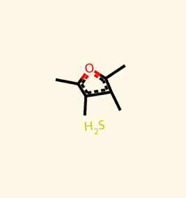 Cc1oc(C)c(C)c1C.S